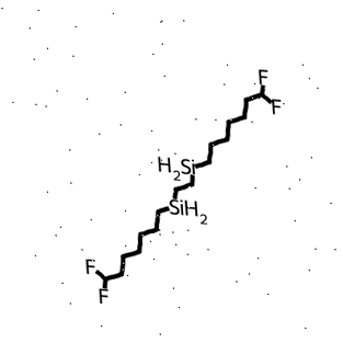 FC(F)CCCCCC[SiH2]CC[SiH2]CCCCCCC(F)F